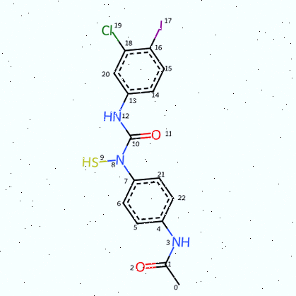 CC(=O)Nc1ccc(N(S)C(=O)Nc2ccc(I)c(Cl)c2)cc1